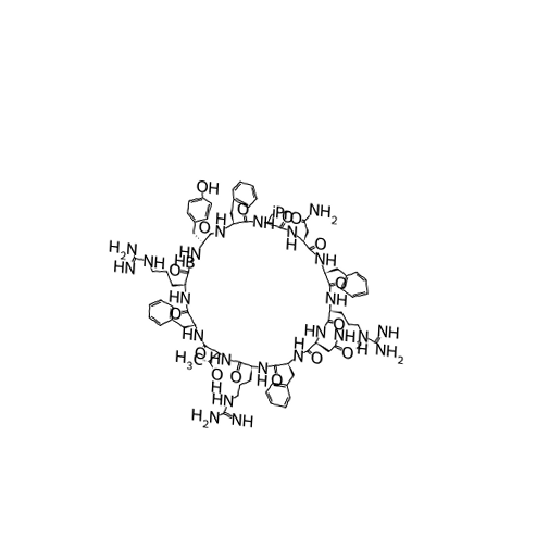 CC(C)C1NC(=O)[C@H](Cc2ccccc2)NC(=O)[C@@H](Cc2ccc(O)cc2)NBC(=O)[C@H](CCCNC(=N)N)NC(=O)[C@H](Cc2ccccc2)NC(=O)[C@H]([C@@H](C)O)NC(=O)[C@H](CCCNC(=N)N)NC(=O)[C@H](Cc2ccccc2)NC(=O)[C@H](CC(N)=O)NC(=O)[C@H](CCCNC(=N)N)NC(=O)[C@H](Cc2ccccc2)NC(=O)[C@H](CC(N)=O)NC1=O